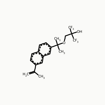 C=C(C)c1ccc2ccc(C(C)(C)OCC(O)(C(F)(F)F)C(F)(F)F)cc2c1